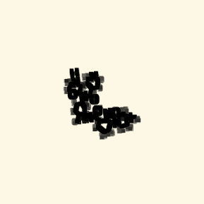 Cc1ccc(N(C(=O)c2ccncc2)C2CNCCO2)cc1NC(=O)c1cccc(N2CCN(C)CC2)c1[N+](=O)[O-]